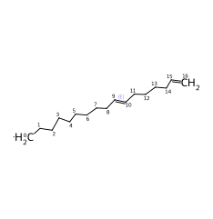 [CH2]CCCCCCCC/C=C/CCCCC=C